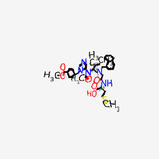 CC[C@H](C)[C@@H](CN(CC(=O)N[C@@H](CCSC)C(=O)O)Cc1cccc2ccccc12)N(C(C)=O)c1cncn1Cc1ccc(C(=O)OC)cc1